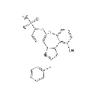 Cc1cccc(Cl)c1-c1oc(Cc2ccccc2)nc1-c1ccc(S(C)(=O)=O)cc1